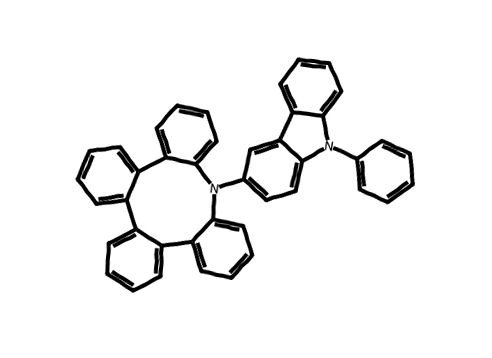 c1ccc(-n2c3ccccc3c3cc(-n4c5ccccc5c5ccccc5c5ccccc5c5ccccc54)ccc32)cc1